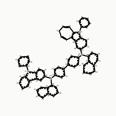 C1=Cc2c(n(-c3ccccc3)c3ccc(N(c4ccc(-c5ccc(N(c6ccc7c(c6)c6ccccc6n7-c6ccccc6)c6cccc7ccccc67)cc5)cc4)c4cccc5ccccc45)cc23)C=CC1